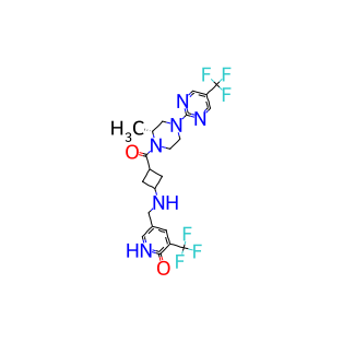 C[C@@H]1CN(c2ncc(C(F)(F)F)cn2)CCN1C(=O)C1CC(NCc2c[nH]c(=O)c(C(F)(F)F)c2)C1